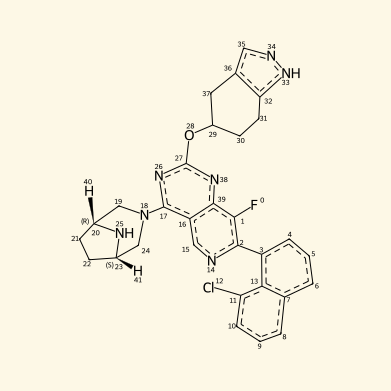 Fc1c(-c2cccc3cccc(Cl)c23)ncc2c(N3C[C@H]4CC[C@@H](C3)N4)nc(OC3CCc4[nH]ncc4C3)nc12